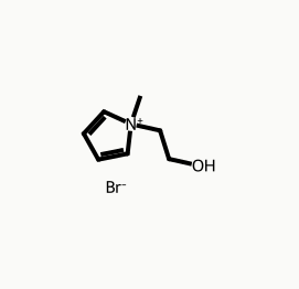 C[N+]1(CCO)C=CC=C1.[Br-]